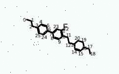 CCCc1ccc(-c2ccc(CCC3C=CC(CC)CC3)c(F)c2)cc1